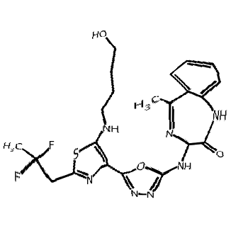 CC1=NC(Nc2nnc(-c3nc(CC(C)(F)F)sc3NCCCCO)o2)C(=O)Nc2ccccc21